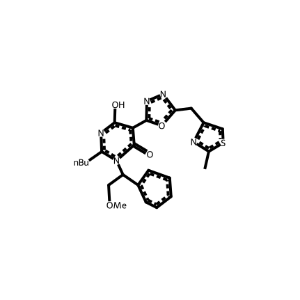 CCCCc1nc(O)c(-c2nnc(Cc3csc(C)n3)o2)c(=O)n1C(COC)c1ccccc1